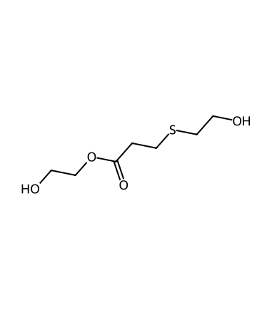 O=C(CCSCCO)OCCO